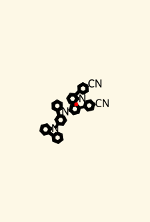 N#Cc1ccc(-c2ccc(-n3c4ccccc4c4cc(-n5c6ccccc6c6ccccc65)ccc43)cc2)c(-n2c3ccccc3c3ccc(C#N)cc32)c1